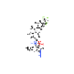 CC(NC(=O)c1ccc2c(-c3ccc(C(F)(F)F)cc3)cccc2c1)C1(O)CNC1